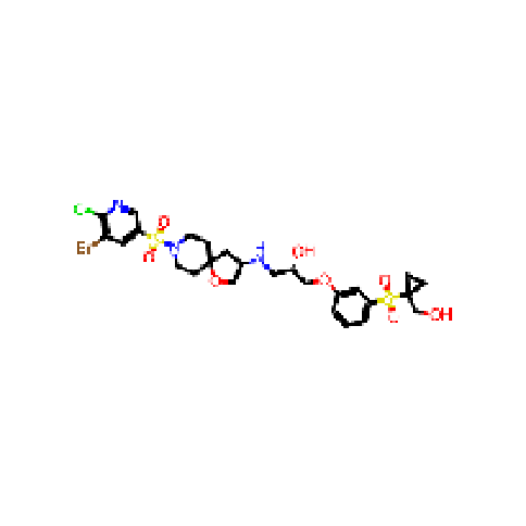 O=S(=O)(c1cnc(Cl)c(Br)c1)N1CCC2(CC1)C[C@@H](NC[C@H](O)COc1cccc(S(=O)(=O)C3(CO)CC3)c1)CO2